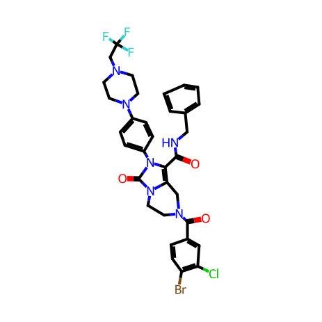 O=C(NCc1ccccc1)c1c2n(c(=O)n1-c1ccc(N3CCN(CC(F)(F)F)CC3)cc1)CCN(C(=O)c1ccc(Br)c(Cl)c1)C2